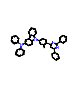 Cc1cc(-n2c3ccccc3c3cc(N(c4ccccc4)c4ccccc4)ccc32)ccc1-c1cc(-c2ccccc2)nc(-c2ccccc2)n1